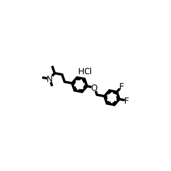 CC(CCc1ccc(OCc2ccc(F)c(F)c2)cc1)N(C)C.Cl